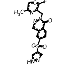 Cc1ccc(F)c(Cn2ncc3cc(S(=O)(=O)c4cn[nH]c4)ccc3c2=O)n1